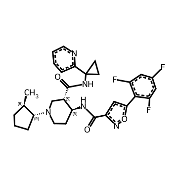 C[C@@H]1CCC[C@H]1N1CC[C@H](NC(=O)c2cc(-c3c(F)cc(F)cc3F)on2)[C@@H](C(=O)NC2(c3ccccn3)CC2)C1